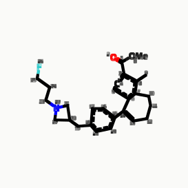 COC(=O)c1ccc2c(c1C)CCCC=C2c1ccc(CC2CN(CCCF)C2)cc1